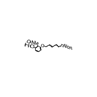 CCCCCCCCCCCCCCOc1cccc(O)c1OC